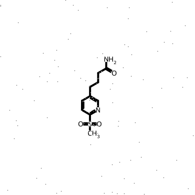 CS(=O)(=O)c1ccc(CCCC(N)=O)cn1